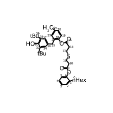 CCCCCCc1ccccc1OC(=O)CCSCCC(=O)Oc1ccc(C)cc1Cc1cc(C(C)(C)C)c(O)c(C(C)(C)C)c1